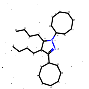 CCCCC1C(C2CCCCCCC2)=NN(C2CCCCCCC2)C1CCCC